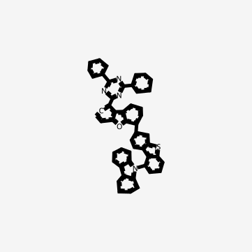 c1ccc(-c2nc(-c3ccccc3)nc(-c3cccc4oc5c(-c6ccc7c(c6)sc6cccc(-n8c9ccccc9c9ccccc98)c67)cccc5c34)n2)cc1